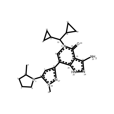 CC1CCCN1c1cc(-c2cn(C(C3CC3)C3CC3)c(=O)c3c(N)n[nH]c23)nn1C